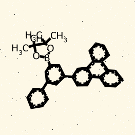 CC1(C)OB(c2cc(-c3ccccc3)cc(-c3ccc4c5ccccc5c5ccccc5c4c3)c2)OC1(C)C